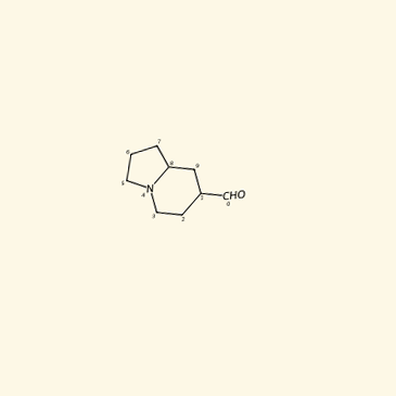 O=CC1CCN2CCCC2C1